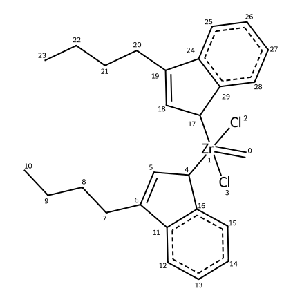 [CH2]=[Zr]([Cl])([Cl])([CH]1C=C(CCCC)c2ccccc21)[CH]1C=C(CCCC)c2ccccc21